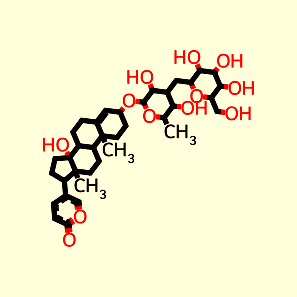 CC1OC(OC2C=C3CCC4C(CCC5(C)C(c6ccc(=O)oc6)CCC45O)C3(C)CC2)C(O)C(CC2OC(CO)C(O)C(O)C2O)C1O